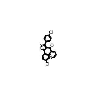 O=C(c1cccnc1)c1c(-c2ccc(Cl)cc2)nsc1-c1ccc(Cl)cc1